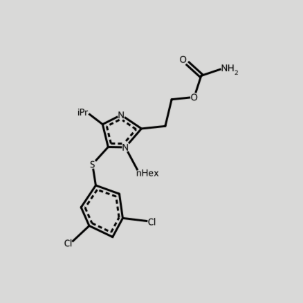 CCCCCCn1c(CCOC(N)=O)nc(C(C)C)c1Sc1cc(Cl)cc(Cl)c1